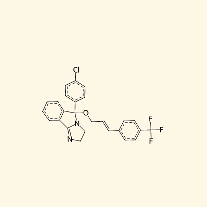 FC(F)(F)c1ccc(/C=C/COC2(c3ccc(Cl)cc3)c3ccccc3C3=NCCN32)cc1